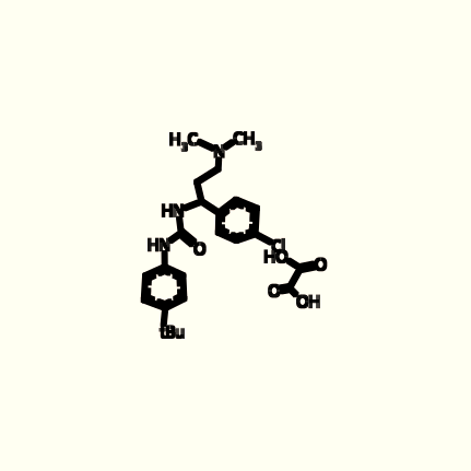 CN(C)CCC(NC(=O)Nc1ccc(C(C)(C)C)cc1)c1ccc(Cl)cc1.O=C(O)C(=O)O